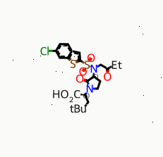 CCC(=O)CN([C@H]1CCN([C@@H](CC(C)(C)C)C(=O)O)C1=O)S(=O)(=O)c1cc2ccc(Cl)cc2s1